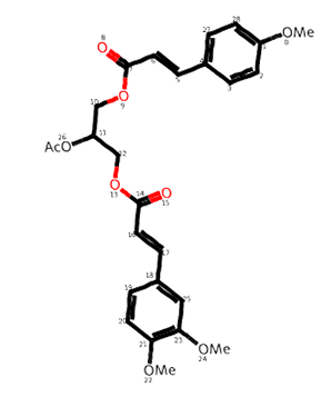 COc1ccc(C=CC(=O)OCC(COC(=O)C=Cc2ccc(OC)c(OC)c2)OC(C)=O)cc1